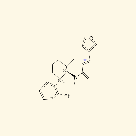 C=C(/C=C/c1ccoc1)N(C)[C@@H]1C(C)CCC[C@]1(C)c1ccccc1CC